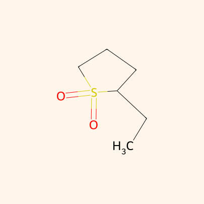 CCC1CCCS1(=O)=O